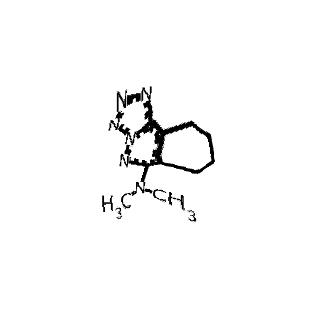 CN(C)c1nn2nnnc2c2c1CCCC2